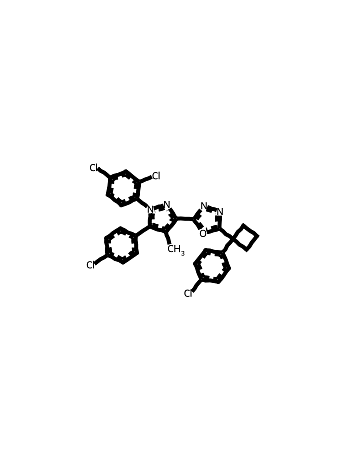 Cc1c(-c2nnc(C3(c4ccc(Cl)cc4)CCC3)o2)nn(-c2ccc(Cl)cc2Cl)c1-c1ccc(Cl)cc1